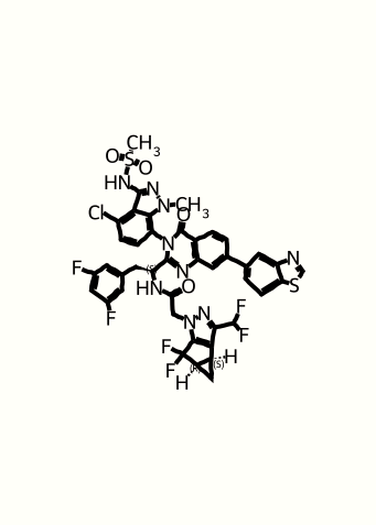 Cn1nc(NS(C)(=O)=O)c2c(Cl)ccc(-n3c([C@H](Cc4cc(F)cc(F)c4)NC(=O)Cn4nc(C(F)F)c5c4C(F)(F)[C@@H]4C[C@H]54)nc4cc(-c5ccc6scnc6c5)ccc4c3=O)c21